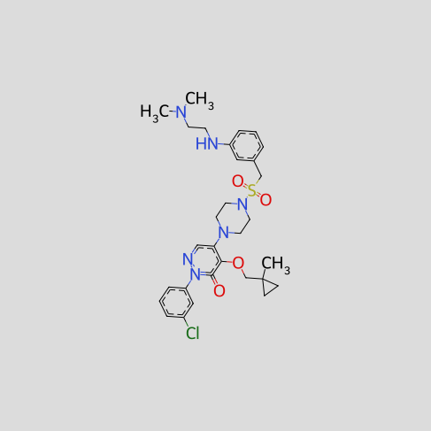 CN(C)CCNc1cccc(CS(=O)(=O)N2CCN(c3cnn(-c4cccc(Cl)c4)c(=O)c3OCC3(C)CC3)CC2)c1